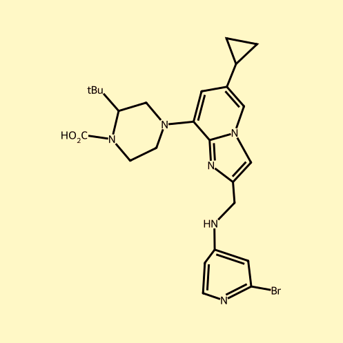 CC(C)(C)C1CN(c2cc(C3CC3)cn3cc(CNc4ccnc(Br)c4)nc23)CCN1C(=O)O